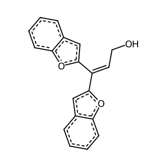 OCC=C(c1cc2ccccc2o1)c1cc2ccccc2o1